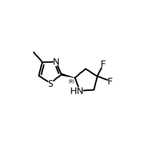 Cc1csc([C@H]2CC(F)(F)CN2)n1